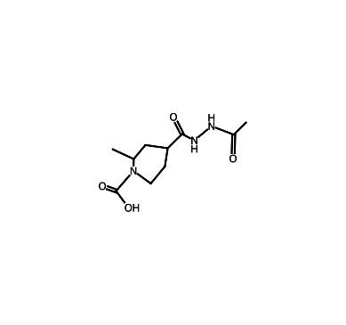 CC(=O)NNC(=O)C1CCN(C(=O)O)C(C)C1